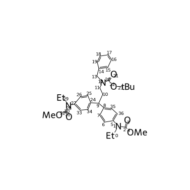 CCN(C(=O)OC)c1ccc(C(CCN(Cc2ccccc2)C(=O)OC(C)(C)C)c2ccc(N(CC)C(=O)OC)cc2)cc1